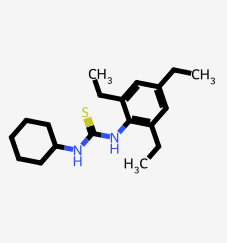 CCc1cc(CC)c(NC(=S)NC2CCCCC2)c(CC)c1